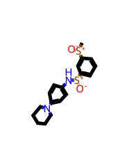 C[S+]([O-])c1cccc([S+]([O-])Nc2ccc(N3CCCCC3)cc2)c1